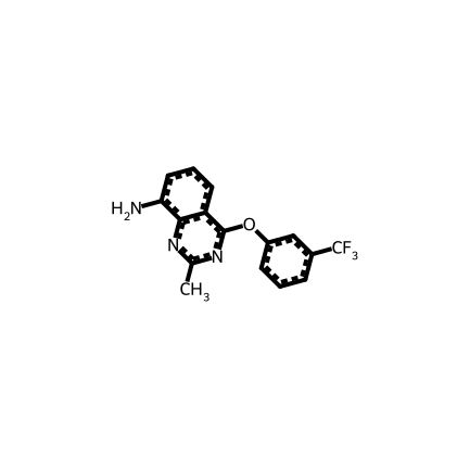 Cc1nc(Oc2cccc(C(F)(F)F)c2)c2cccc(N)c2n1